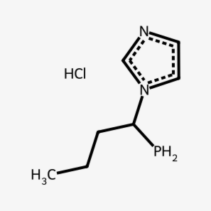 CCCC(P)n1ccnc1.Cl